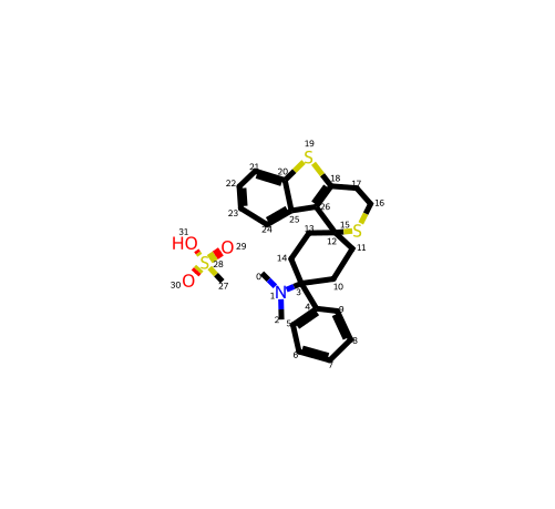 CN(C)C1(c2ccccc2)CCC2(CC1)SCCc1sc3ccccc3c12.CS(=O)(=O)O